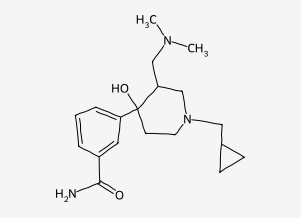 CN(C)CC1CN(CC2CC2)CCC1(O)c1cccc(C(N)=O)c1